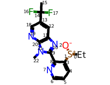 CC[S+]([O-])c1cccnc1-c1nc2cc(C(C)(F)F)cnc2n1C